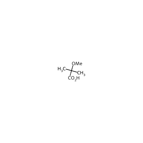 [CH2]OC(C)(C)C(=O)O